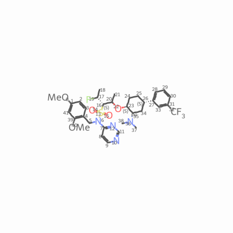 COc1ccc(CN(c2ccncn2)S(=O)(=O)[C@H](C(C)F)C(C)O[C@H]2CC[C@H](c3cccc(C(F)(F)F)c3)C[C@@H]2N(C)C)c(OC)c1